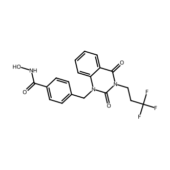 O=C(NO)c1ccc(Cn2c(=O)n(CCC(F)(F)F)c(=O)c3ccccc32)cc1